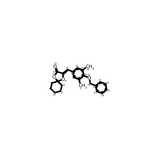 Cc1cc(C=C2OC3(CCCCC3)OC2=O)cc(C)c1OCc1ccccc1